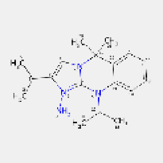 CC(C)c1cn2c([n+]1N)N(C(C)C)c1ccccc1C2(C)C